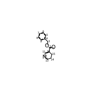 O=C(OCc1ccccc1)C1=CN=CCC1